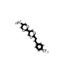 CCCC1COC(C2COC(CCc3ccc(C(F)(F)F)cc3)OC2)OC1